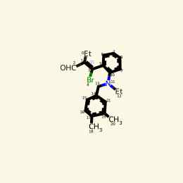 CC/C(C=O)=C(/Br)c1ccccc1N(CC)Cc1ccc(C)c(C)c1